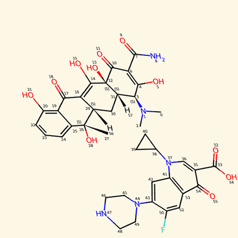 CN(C)[C@@H]1C(O)=C(C(N)=O)C(=O)[C@@]2(O)C(O)=C3C(=O)c4c(O)cccc4[C@@](C)(O)[C@H]3C[C@@H]12.O=C(O)c1cn(C2CC2)c2cc(N3CCNCC3)c(F)cc2c1=O